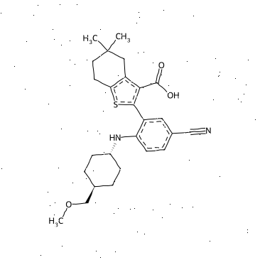 COC[C@H]1CC[C@H](Nc2ccc(C#N)cc2-c2sc3c(c2C(=O)O)CC(C)(C)CC3)CC1